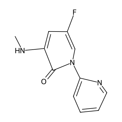 CNc1cc(F)cn(-c2ccccn2)c1=O